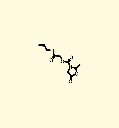 C=CCOC(=O)COC(=O)N1CC(=O)OC1C